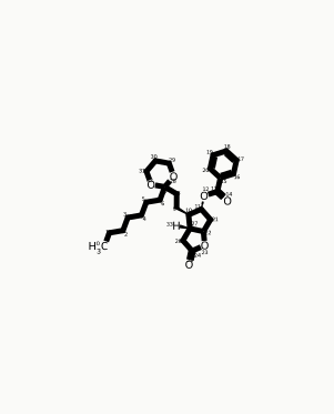 CCCCCCCC1(CC[C@H]2[C@H](OC(=O)c3ccccc3)CC3OC(=O)C[C@@H]32)OCCCO1